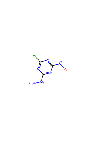 NNc1nc(Cl)nc(NO)n1